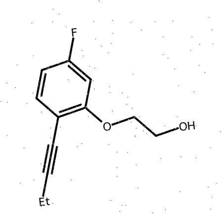 CCC#Cc1ccc(F)cc1OCCO